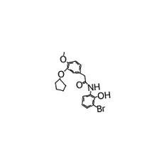 COc1ccc(CC(=O)Nc2cccc(Br)c2O)cc1OC1CCCC1